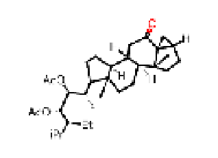 CC[C@@H](C(C)C)[C@H](OC(C)=O)[C@@H](OC(C)=O)[C@@H](C)[C@H]1CC[C@H]2[C@@H]3CC(=O)[C@]45C[C@@H]4CC[C@]5(C)[C@H]3CC[C@]12C